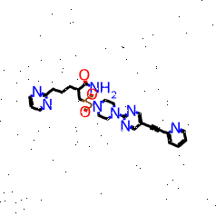 NC(=O)C(CCCc1ncccn1)CS(=O)(=O)N1CCN(c2ncc(C#Cc3ccccn3)cn2)CC1